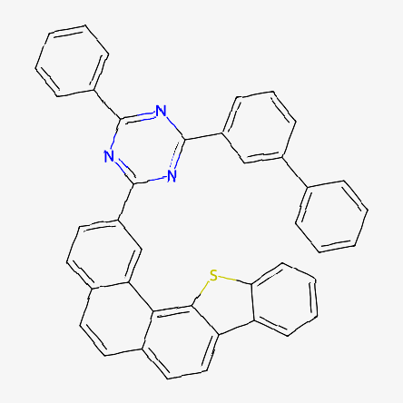 c1ccc(-c2cccc(-c3nc(-c4ccccc4)nc(-c4ccc5ccc6ccc7c8ccccc8sc7c6c5c4)n3)c2)cc1